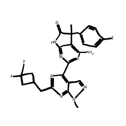 Cn1ncc2c(-c3nc(N)c4c(n3)NC(=O)C4(C)c3ccc(F)cc3)nc(CC3CC(F)(F)C3)nc21